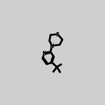 CC(C)(C)c1ccnc(N2CCSCC2)c1